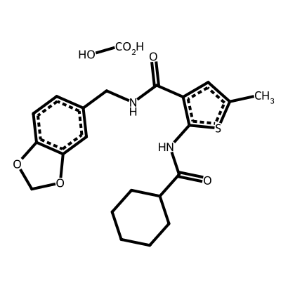 Cc1cc(C(=O)NCc2ccc3c(c2)OCO3)c(NC(=O)C2CCCCC2)s1.O=C(O)O